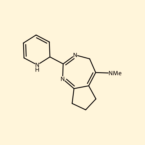 CNC1=C2CCCC2=NC(C2C=CC=CN2)=NC1